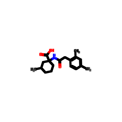 Cc1ccc(CC(=O)NC2(C(=O)O)CCCC(C)C2)c(C)c1